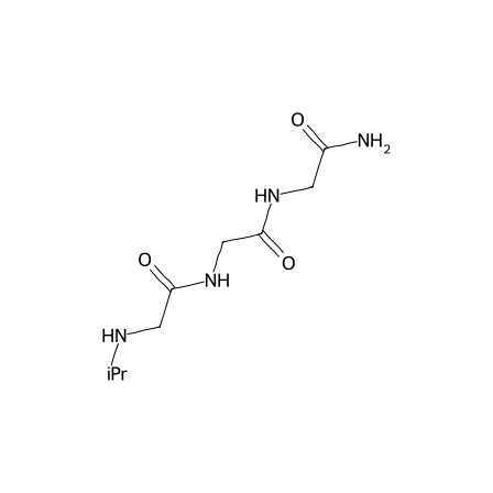 CC(C)NCC(=O)NCC(=O)NCC(N)=O